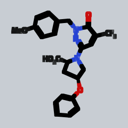 COc1ccc(Cn2nc(N3C[C@@H](Oc4ccccc4)C[C@H]3C(=O)O)cc(C(F)(F)F)c2=O)cc1